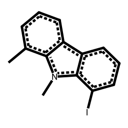 Cc1cccc2c3cccc(I)c3n(C)c12